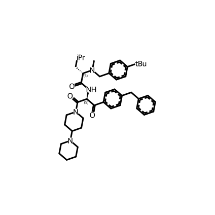 CC(C)C[C@@H](C(=O)N[C@@H](C(=O)c1ccc(Cc2ccccc2)cc1)C(=O)N1CCC(N2CCCCC2)CC1)N(C)Cc1ccc(C(C)(C)C)cc1